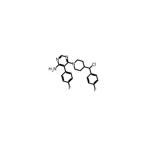 Nc1ncnc(N2CCC(C(Cl)c3ccc(F)cc3)CC2)c1-c1ccc(F)cc1